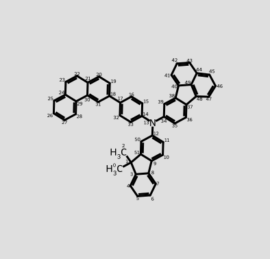 CC1(C)c2ccccc2-c2ccc(N(c3ccc(-c4ccc5ccc6ccccc6c5c4)cc3)c3ccc4c(c3)-c3cccc5cccc-4c35)cc21